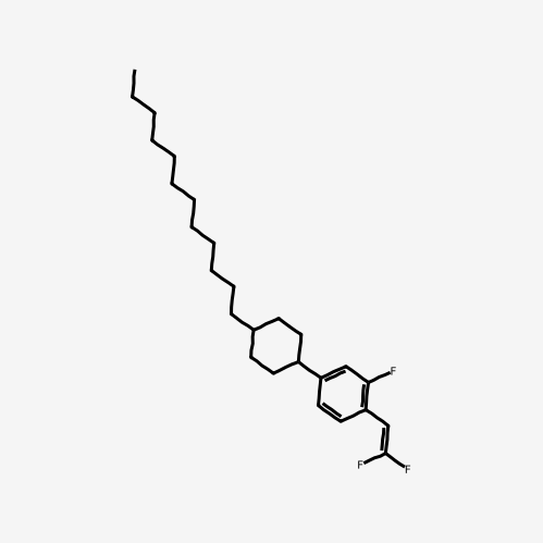 CCCCCCCCCCCCC1CCC(c2ccc(C=C(F)F)c(F)c2)CC1